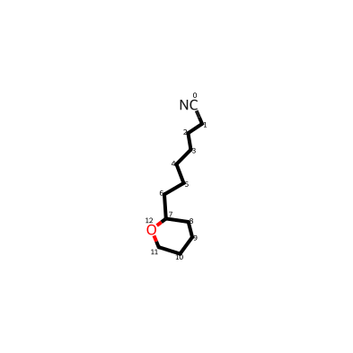 N#CCCCCCCC1CCCCO1